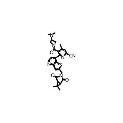 Cc1cc(C#N)nc(-c2ccnc3cc(CN4C(=O)C5C(C4=O)C5(C)C)sc23)c1C(=O)N1CC(N(C)C)C1